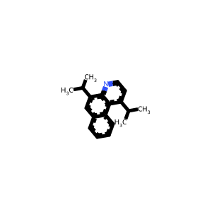 CC(C)c1cc2ccccc2c2c(C(C)C)ccnc12